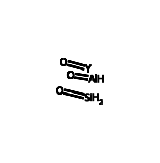 O=[SiH2].[O]=[AlH].[O]=[Y]